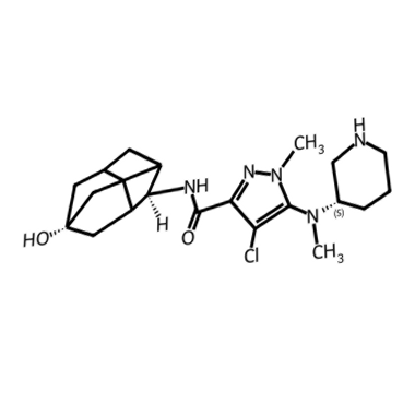 CN(c1c(Cl)c(C(=O)N[C@H]2C3CC4CC2C[C@](O)(C4)C3)nn1C)[C@H]1CCCNC1